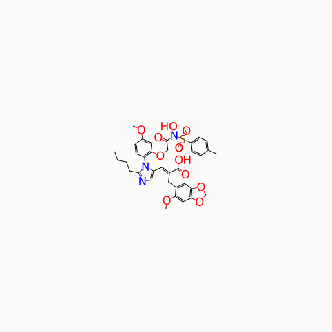 CCCCc1ncc(/C=C(\Cc2cc3c(cc2OC)OCO3)C(=O)O)n1-c1ccc(OC)cc1OCC(=O)N(O)S(=O)(=O)c1ccc(C)cc1